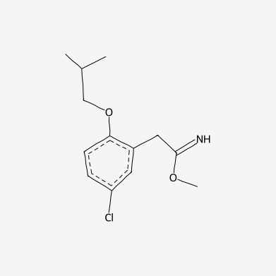 COC(=N)Cc1cc(Cl)ccc1OCC(C)C